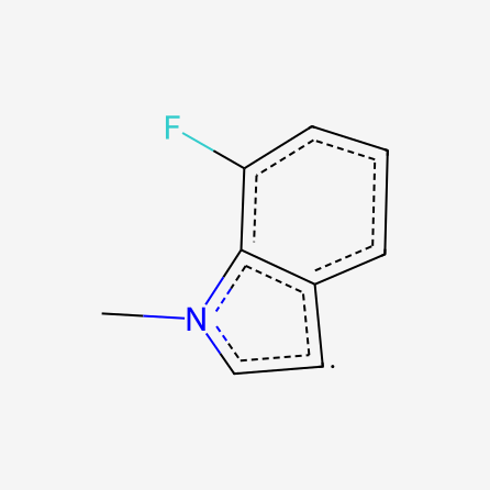 Cn1c[c]c2cccc(F)c21